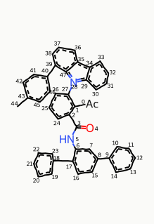 CC(=O)c1c(C(=O)Nc2cc(-c3ccccc3)ccc2-c2ccccc2)cccc1-n1c2ccccc2c2cccc(-c3ccc(C)cc3)c21